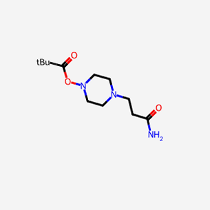 CC(C)(C)C(=O)ON1CCN(CCC(N)=O)CC1